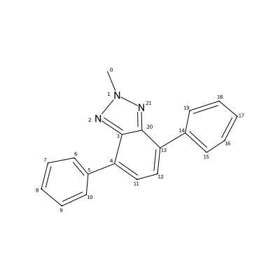 Cn1nc2c(-c3ccccc3)ccc(-c3ccccc3)c2n1